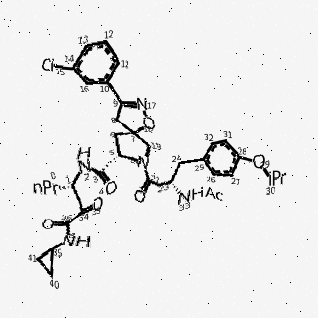 CCC[C@H](NC(=O)[C@@H]1C[C@]2(CC(c3cccc(Cl)c3)=NO2)CN1C(=O)[C@H](Cc1ccc(OC(C)C)cc1)NC(C)=O)C(=O)C(=O)NC1CC1